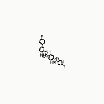 CCc1ccc(S(=N)(=O)c2ccc(C(=O)Nc3cc(-c4ccc(F)cc4)ccc3N)cc2)cn1